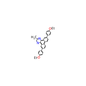 CCOc1ccc(-c2ccc3c4ccc(-c5ccc(OCC)cc5)cc4c4nc(C)cnc4c3c2)cc1